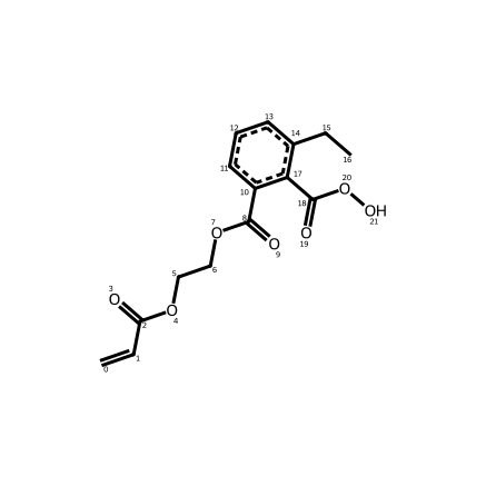 C=CC(=O)OCCOC(=O)c1cccc(CC)c1C(=O)OO